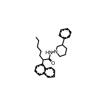 CCCCCC(C(=O)NN1CCCC(c2ccccc2)C1)c1cccc2ccccc12